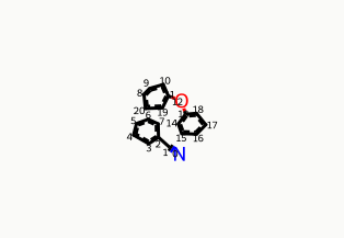 N#Cc1ccccc1.c1ccc(Oc2ccccc2)cc1